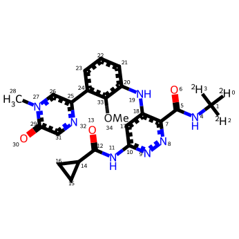 [2H]C([2H])([2H])NC(=O)c1nnc(NC(=O)C2CC2)cc1Nc1cccc(-c2cn(C)c(=O)cn2)c1OC